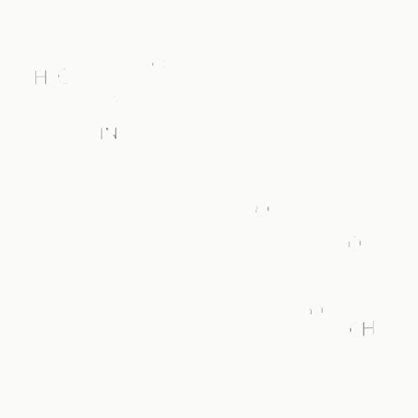 COC(=O)[C@@H]1CCc2cc(NC(C)=O)ccc2O1